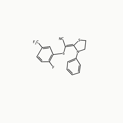 N#C/C(Sc1cc(C(F)(F)F)ccc1F)=C1\SCCN1c1ccccc1